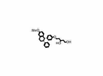 COc1ccc2c(c1)CC[C@@H](c1ccccc1)[C@H]2c1ccc(OCCC(O)CCO)cc1